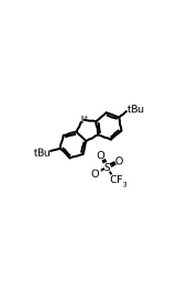 CC(C)(C)c1ccc2c(c1)[I+]c1cc(C(C)(C)C)ccc1-2.O=S(=O)([O-])C(F)(F)F